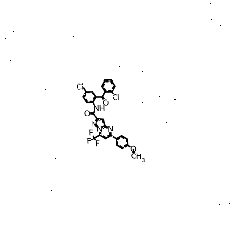 COc1ccc(-c2cc(C(F)(F)F)n3nc(C(=O)Nc4ccc(Cl)cc4C(=O)c4ccccc4Cl)cc3n2)cc1